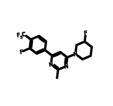 Cc1nc(-c2ccc(C(F)(F)F)c(F)c2)cc(N2CCCC(F)C2)n1